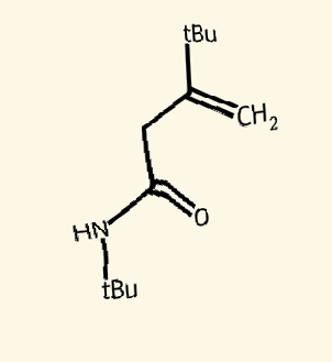 C=C(CC(=O)NC(C)(C)C)C(C)(C)C